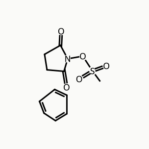 CS(=O)(=O)ON1C(=O)CCC1=O.c1ccccc1